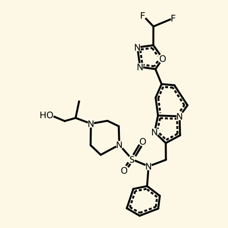 CC(CO)N1CCN(S(=O)(=O)N(Cc2cn3ccc(-c4nnc(C(F)F)o4)cc3n2)c2ccccc2)CC1